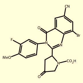 COc1ccc(-n2c(C3CC(=O)CN3C(=O)O)nc3c(Br)cc(C#N)cc3c2=O)cc1F